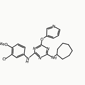 COc1ccc(Nc2nc(NC3CCCCCC3)nc(Oc3cccnc3)n2)cc1Cl